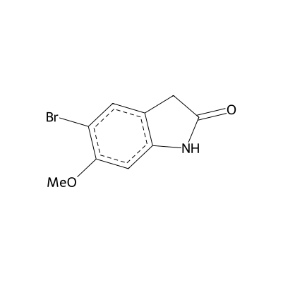 COc1cc2c(cc1Br)CC(=O)N2